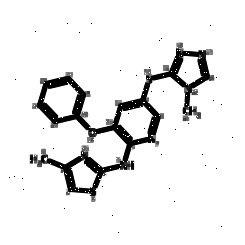 Cc1csc(Nc2ncc(Sc3nncn3C)cc2Oc2ccccc2)n1